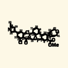 COC(=O)c1cc(F)c(-c2cccc3c2OCN(C(=O)c2c(Cl)cc(-c4cnn(C)c4)cc2Cl)C3)cc1N1C2CCC1COC2